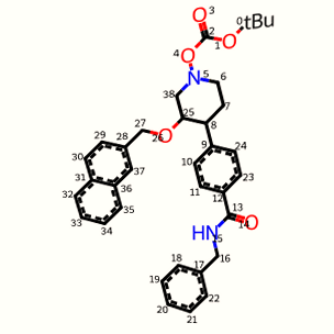 CC(C)(C)OC(=O)ON1CCC(c2ccc(C(=O)NCc3ccccc3)cc2)C(OCc2ccc3ccccc3c2)C1